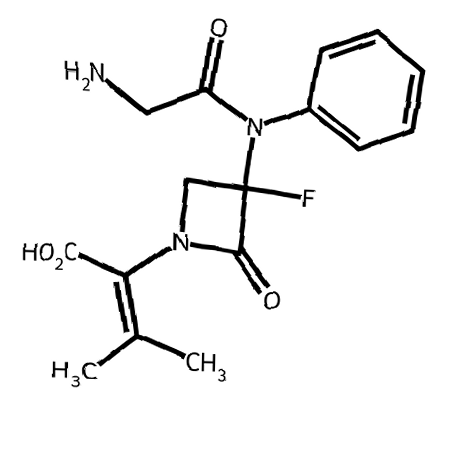 CC(C)=C(C(=O)O)N1CC(F)(N(C(=O)CN)c2ccccc2)C1=O